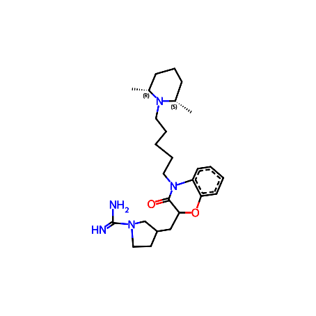 C[C@@H]1CCC[C@H](C)N1CCCCCN1C(=O)C(CC2CCN(C(=N)N)C2)Oc2ccccc21